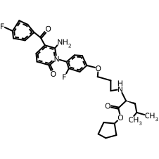 CC(C)C[C@H](NCCCOc1ccc(-n2c(N)c(C(=O)c3ccc(F)cc3)ccc2=O)c(F)c1)C(=O)OC1CCCC1